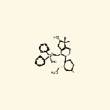 CC(=O)OC[C@H]1C[C@@H](C)CC[C@]1(C)[C@H]1CCC2=C(C[C@@H](O)C2(C)C)[C@@H]1CO[Si](c1ccccc1)(c1ccccc1)C(C)(C)C